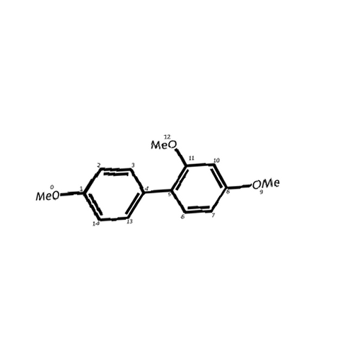 COc1ccc(-c2ccc(OC)cc2OC)cc1